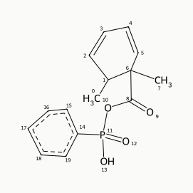 CC1C=CC=CC1(C)C(=O)OP(=O)(O)c1ccccc1